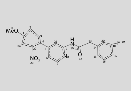 COc1ccc(-c2ccnc(NC(=O)Cc3cccc(F)c3)c2)c([N+](=O)[O-])c1